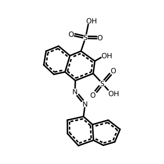 O=S(=O)(O)c1c(O)c(S(=O)(=O)O)c2ccccc2c1N=Nc1cccc2ccccc12